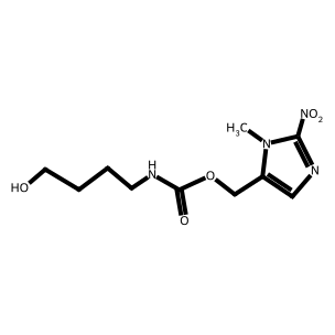 Cn1c(COC(=O)NCCCCO)cnc1[N+](=O)[O-]